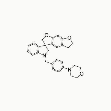 c1ccc2c(c1)N(Cc1ccc(N3CCOCC3)cc1)CC21COc2cc3c(cc21)CCO3